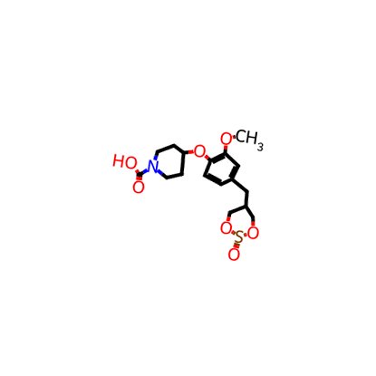 COc1cc(CC2COS(=O)OC2)ccc1OC1CCN(C(=O)O)CC1